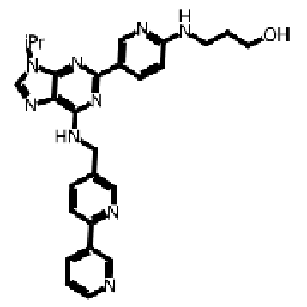 CC(C)n1cnc2c(NCc3ccc(-c4cccnc4)nc3)nc(-c3ccc(NCCCO)nc3)nc21